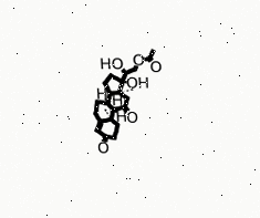 CC(=O)OCC(O)[C@@]1(O)CC[C@H]2[C@@H]3CCC4=CC(=O)CC[C@]4(C)[C@H]3C(=O)C[C@@]21C